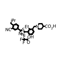 CCc1c(CN2CCC(C(=O)O)CC2)cccc1-c1nnc(-c2ccc(CC(C)C)c(C#N)c2)s1.O=C(O)C(F)(F)F